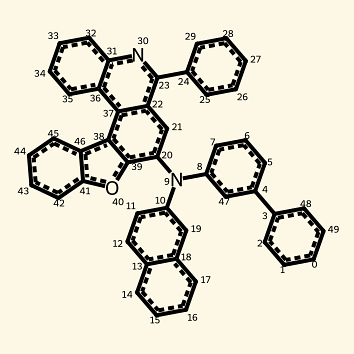 c1ccc(-c2cccc(N(c3ccc4ccccc4c3)c3cc4c(-c5ccccc5)nc5ccccc5c4c4c3oc3ccccc34)c2)cc1